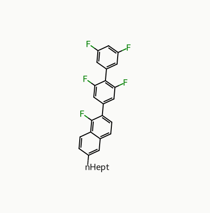 CCCCCCCc1ccc2c(F)c(-c3cc(F)c(-c4cc(F)cc(F)c4)c(F)c3)ccc2c1